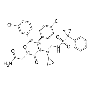 NC(=O)C[C@@H]1O[C@H](c2cccc(Cl)c2)[C@@H](c2ccc(Cl)cc2)N([C@H](CNS(=O)(=O)C2(c3ccccc3)CC2)C2CC2)C1=O